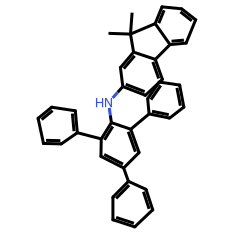 CC1(C)c2ccccc2-c2ccc(Nc3c(-c4ccccc4)cc(-c4ccccc4)cc3-c3ccccc3)cc21